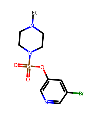 CCN1CCN(S(=O)(=O)Oc2cncc(Br)c2)CC1